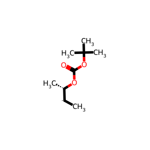 C[CH][C@H](C)OC(=O)OC(C)(C)C